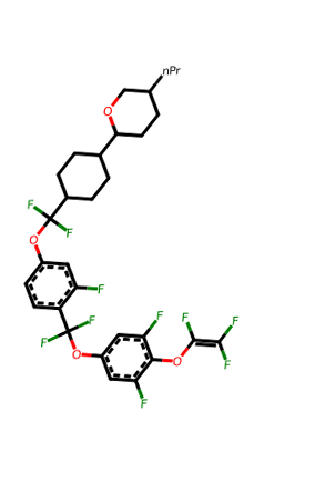 CCCC1CCC(C2CCC(C(F)(F)Oc3ccc(C(F)(F)Oc4cc(F)c(OC(F)=C(F)F)c(F)c4)c(F)c3)CC2)OC1